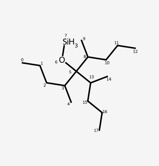 CCCC(C)C(O[SiH3])(C(C)CCC)C(C)CCC